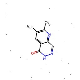 Cc1cc2c(=O)[nH]ncc2nc1C